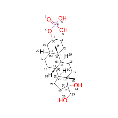 C[C@]12CC[C@@H](OP(=O)(O)O)C[C@@H]1CC[C@@H]1[C@@H]2CC[C@@]2(C)[C@H]1CC[C@]2(O)CO